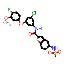 CS(=O)(=O)Nc1ccc2sc(C(=O)Nc3cc(Cl)cc(Oc4ccc(F)c(OC(F)(F)F)c4)c3)cc2c1